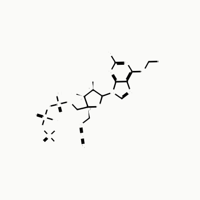 CCOc1nc(N)nc2c1ncn2C1O[C@](CN=[N+]=[N-])(COP(=O)(O)OP(=O)(O)OP(=O)(O)O)[C@@H](O)[C@H]1F